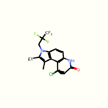 CCc1c(C)c2c3c(Cl)cc(=O)[nH]c3ccc2n1CC(F)(F)C(F)(F)F